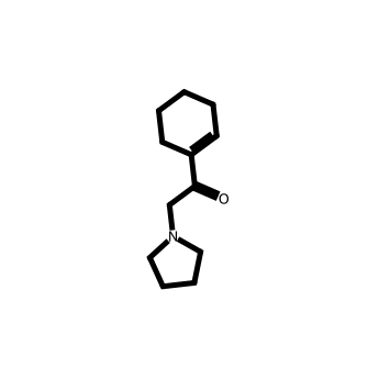 O=C(CN1CCCC1)C1=CCCCC1